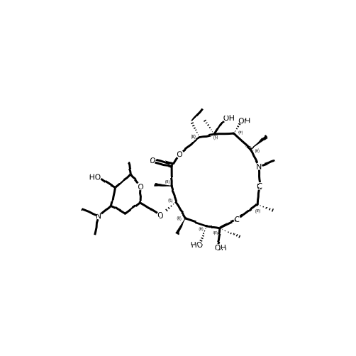 CC[C@H]1OC(=O)[C@H](C)[C@@H](OC2CC(N(C)C)C(O)C(C)O2)[C@H](C)[C@@H](O)[C@](C)(O)C[C@@H](C)CN(C)[C@H](C)[C@@H](O)[C@]1(C)O